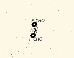 O=Cc1cc(OBOc2ccc(F)c(C=O)c2)ccc1F